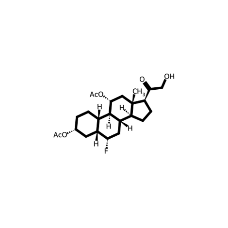 CC(=O)O[C@@H]1CC[C@H]2[C@@H](C1)[C@@H](F)C[C@@H]1[C@@H]2[C@H](OC(C)=O)C[C@]2(C)[C@@H](C(=O)CO)CC[C@@H]12